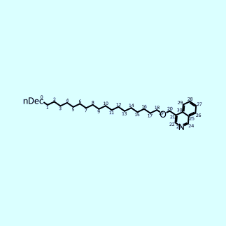 CCCCCCCCCCCCCCCCCCCCCCCCCCCCOCc1cncc2ccccc12